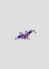 CN(C)C(=O)C(CNC(=O)C(=O)Nc1ccc(Cl)cn1)NC(=O)c1nc2cn(C)cc2s1